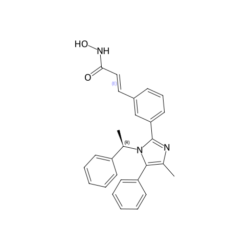 Cc1nc(-c2cccc(/C=C/C(=O)NO)c2)n([C@H](C)c2ccccc2)c1-c1ccccc1